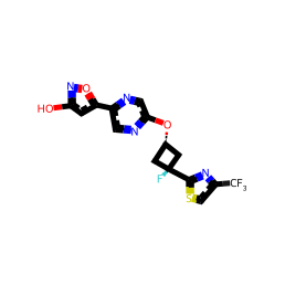 Oc1cc(-c2cnc(O[C@H]3C[C@@](F)(c4nc(C(F)(F)F)cs4)C3)cn2)on1